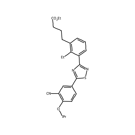 [C-]#[N+]c1cc(-c2nc(-c3cccc(CCCC(=O)OCC)c3CC)ns2)ccc1OC(C)C